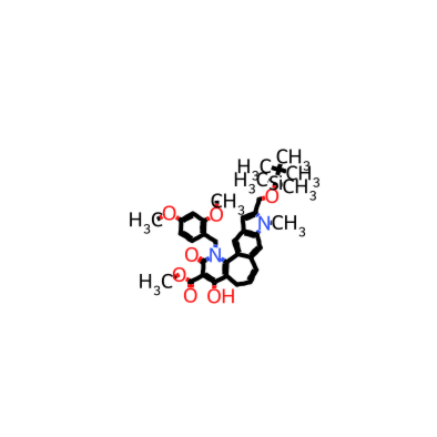 COC(=O)c1c(O)c2c(n(Cc3ccc(OC)cc3OC)c1=O)-c1cc3cc(CO[Si](C)(C)C(C)(C)C)n(C)c3cc1C=CC2